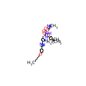 CCCCCCCOc1ccc(-c2cnc(-c3ccc(C[C@H](NC(=O)c4ccc(C(C)(C)C)cc4)C(=O)N[C@@H](Cc4cnn(C)c4)C(=O)O)cc3)nc2)cc1